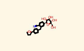 N#Cc1ccc([C@@H]2O[C@H](CO)[C@@H](O)[C@H](O)C2O)cc1Cc1ccc(C2CCCO2)cc1